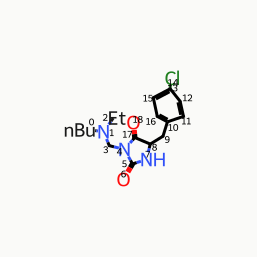 CCCCN(CC)CN1C(=O)NC(Cc2ccc(Cl)cc2)C1=O